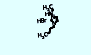 Br.CCCCN1C=CN(NCC)C1